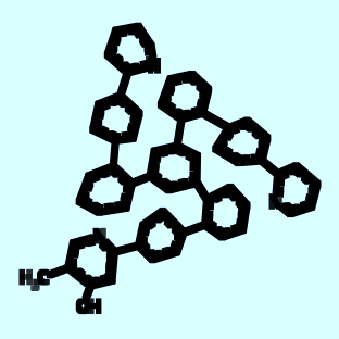 Cc1cnc(-c2ccc(-c3ccccc3-c3cc(-c4ccccc4-c4ccc(-c5ccccn5)cc4)cc(-c4ccccc4-c4ccc(-c5ccccn5)cc4)c3)cc2)cc1O